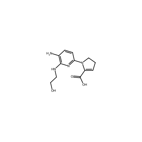 Nc1ccc(N2CCC=C2C(=O)O)nc1NCCO